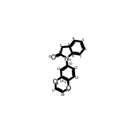 O=C1Cc2ccccc2N1c1ccc2c(c1)OC=CO2